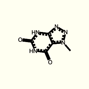 Cn1nnc2[nH]c(=O)[nH]c(=O)c21